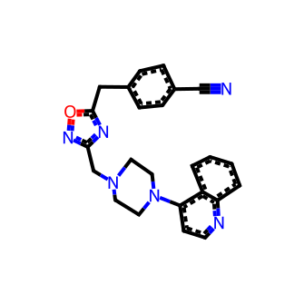 N#Cc1ccc(Cc2nc(CN3CCN(c4ccnc5ccccc45)CC3)no2)cc1